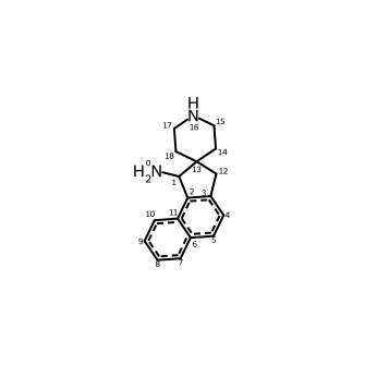 NC1c2c(ccc3ccccc23)CC12CCNCC2